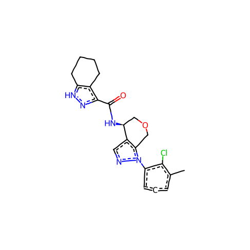 Cc1cccc(-n2ncc3c2COC[C@@H]3NC(=O)c2n[nH]c3c2CCCC3)c1Cl